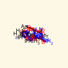 CCCN(CC[C@@H](C)C(=O)N[C@H](C)[C@@H](O)c1ccccc1)C(=O)C[C@@H](OC)[C@H]([C@@H](C)CC)N(C)C(=O)[C@@H](NC(=O)[C@H](C(C)C)N(C)C(=O)OCc1ccc(NC(=O)[C@H](CCCNC(N)=O)NC(=O)[C@@H](NC(=O)[C@H](CCC(N)=O)NC(=O)CCOCCOCCOCCOCCC(C)=O)C(C)C)cc1C(=O)NCCN)C(C)C